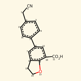 N#CCc1ccc(-c2cc3c(c(C(=O)O)c2)OCC3)cc1